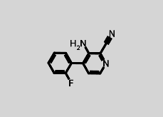 N#Cc1nccc(-c2ccccc2F)c1N